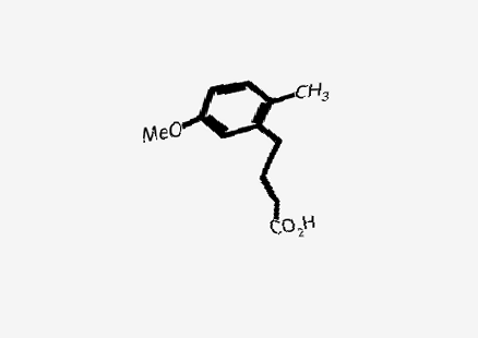 COc1ccc(C)c(CCCC(=O)O)c1